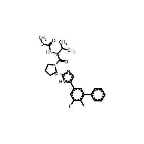 COC(=O)N[C@H](C(=O)N1CCC[C@H]1c1ncc(-c2cc(F)c(I)c(-c3ccccc3)c2)[nH]1)C(C)C